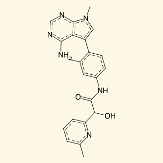 Cc1cccc(C(O)C(=O)Nc2ccc(-c3cn(C)c4ncnc(N)c34)c(C)c2)n1